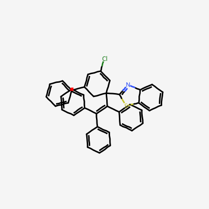 ClC1=CC(C(=C(c2ccccc2)c2ccccc2)c2ccccc2)(c2nc3ccccc3s2)CC(c2ccccc2)=C1